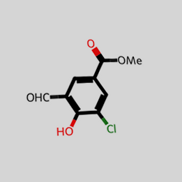 COC(=O)c1cc(Cl)c(O)c(C=O)c1